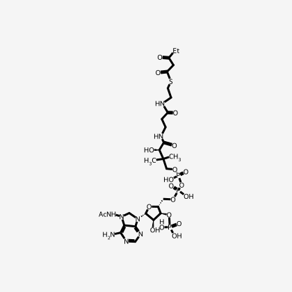 CCC(=O)CC(=O)SCCNC(=O)CCNC(=O)[C@H](O)C(C)(C)COP(=O)(O)OP(=O)(O)OC[C@H]1O[C@@H](N2CN(NC(C)=O)c3c(N)ncnc32)[C@H](O)[C@@H]1OP(=O)(O)O